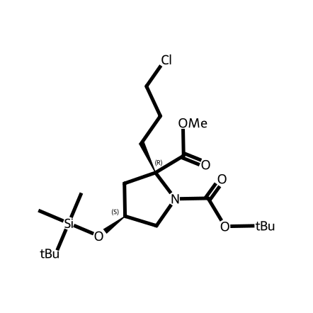 COC(=O)[C@@]1(CCCCl)C[C@H](O[Si](C)(C)C(C)(C)C)CN1C(=O)OC(C)(C)C